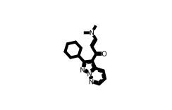 CN(C)C=CC(=O)c1c(C2CCCCC2)nn2ncccc12